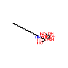 CCCCCCCCCCCCCCCCCCCCNC(=O)C(O)C(O)C(CCO)OC1OC(CO)C(O)C(O)C1O